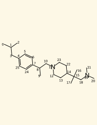 CC(C)Cc1ccc(C(C)CN2CCC(C(C)(C)CN(C)C)CC2)cc1